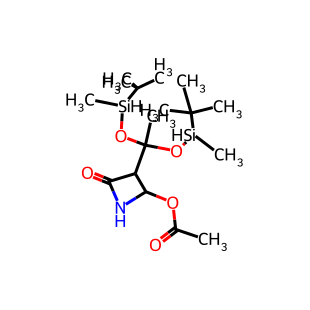 CC(=O)OC1NC(=O)C1C(C)(O[SiH](C)C(C)(C)C)O[SiH](C)C(C)(C)C